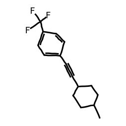 CC1CCC(C#Cc2ccc(C(F)(F)F)cc2)CC1